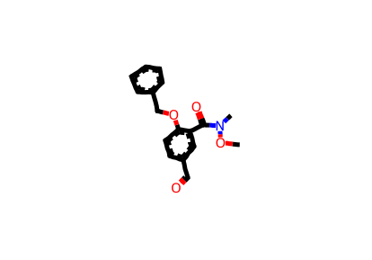 CON(C)C(=O)c1cc(C=O)ccc1OCc1ccccc1